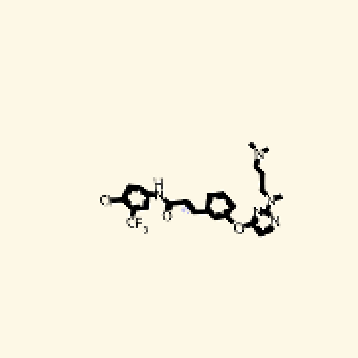 CN(C)CCCN(C)c1nccc(Oc2cccc(/C=C/C(=O)Nc3ccc(Cl)c(C(F)(F)F)c3)c2)n1